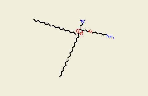 CCCCCCCCCCCCCCCCCCC1(CCCCCCCCCCCCCCCCCC)OC(CCOCCCCCCN)C(CCN(C)C)O1